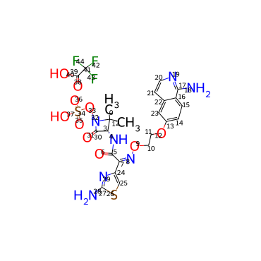 CC1(C)[C@H](NC(=O)/C(=N\OCCOc2ccc3c(N)nccc3c2)c2csc(N)n2)C(=O)N1OS(=O)(=O)O.O=C(O)C(F)(F)F